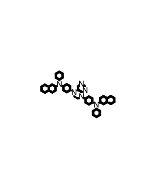 c1ccc(N(c2ccc(N3CCN(c4ccc(N(c5ccccc5)c5ccc6ccccc6c5)cc4)c4ncncc43)cc2)c2ccc3ccccc3c2)cc1